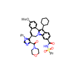 COc1ccc2c(c1)C=C(c1c(C(=O)N3CCOCC3)ncn1C(C)C)Cn1c-2c(C2CCCCC2)c2ccc(C(=O)NS(=O)(=O)C(C)C)cc21